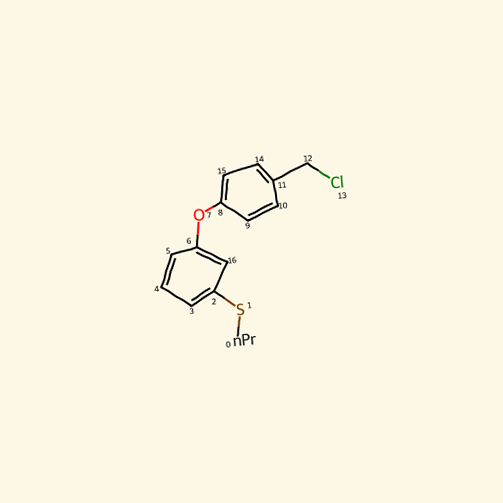 CCCSc1cccc(Oc2ccc(CCl)cc2)c1